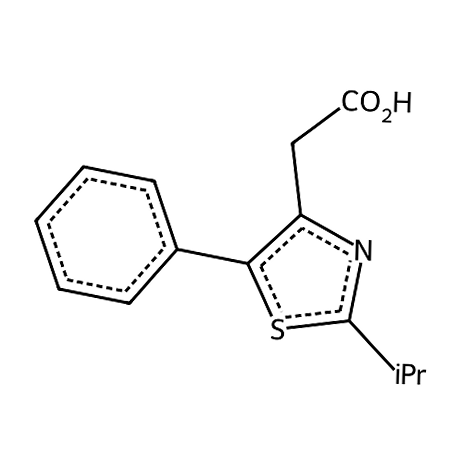 CC(C)c1nc(CC(=O)O)c(-c2ccccc2)s1